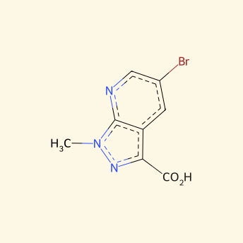 Cn1nc(C(=O)O)c2cc(Br)cnc21